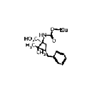 CC(C)(C)OC(=O)N[C@@]1(C(=O)O)C[C@@H](Cc2ccccc2)C1(C)C